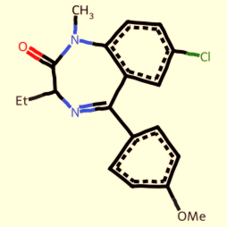 CCC1N=C(c2ccc(OC)cc2)c2cc(Cl)ccc2N(C)C1=O